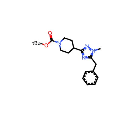 Cn1nc(C2CCN(C(=O)OC(C)(C)C)CC2)nc1Cc1ccccc1